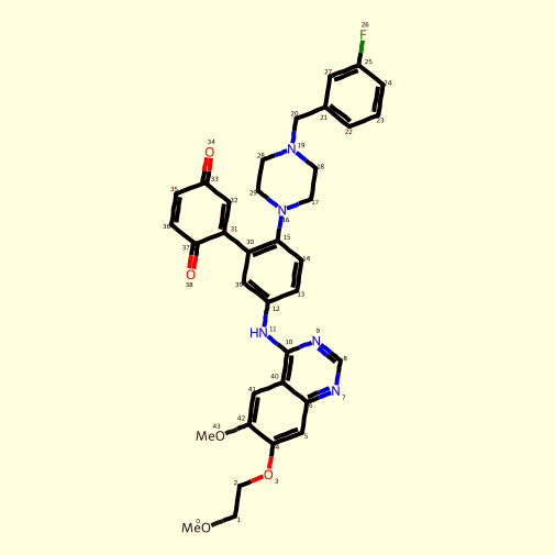 COCCOc1cc2ncnc(Nc3ccc(N4CCN(Cc5cccc(F)c5)CC4)c(C4=CC(=O)C=CC4=O)c3)c2cc1OC